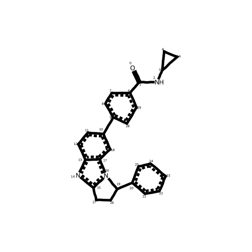 O=C(NC1CC1)c1ccc(-c2ccc3nc4n(c3c2)C(c2ccccc2)CC4)cc1